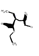 C/C=C(/C(=O)CCl)C(=O)OCC